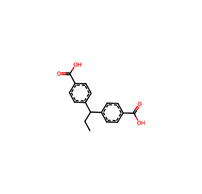 CCC(c1ccc(C(=O)O)cc1)c1ccc(C(=O)O)cc1